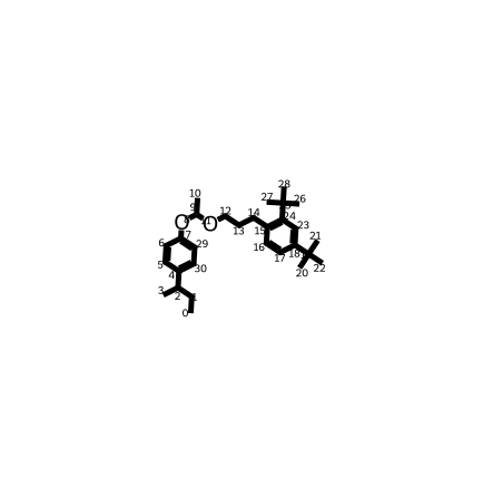 CCC(C)c1ccc(OC(C)OCCCc2ccc(C(C)(C)C)cc2C(C)(C)C)cc1